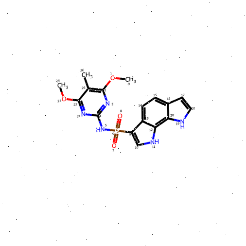 COc1nc(NS(=O)(=O)c2c[nH]c3c2ccc2cc[nH]c23)nc(OC)c1C